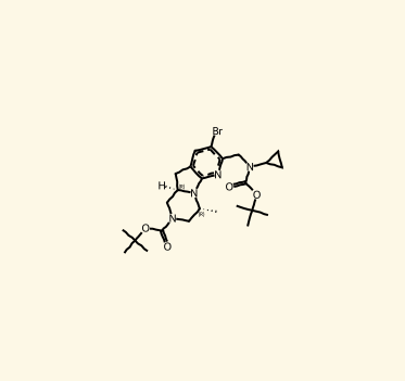 C[C@@H]1CN(C(=O)OC(C)(C)C)C[C@H]2Cc3cc(Br)c(CN(C(=O)OC(C)(C)C)C4CC4)nc3N21